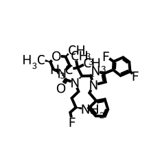 C[C@@H]1CN(C(=O)N(CC[C@@H](N)CF)[C@@H](c2nc(-c3cc(F)ccc3F)cn2Cc2ccccc2)C(C)(C)C)C[C@H](C)O1